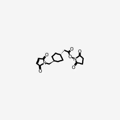 O=C(C[C@H]1CC[C@H](CN2C(=O)C=CC2=O)CC1)ON1C(=O)CCC1=O